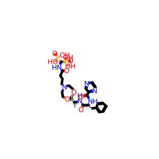 C[C@@H](NC(=O)[C@@H](Cc1ccccc1)NC(=O)c1cnccn1)B1OCCN(CCCC(=O)NC(P(=O)(O)O)P(=O)(O)O)CCO1